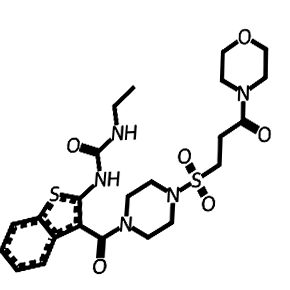 CCNC(=O)Nc1sc2ccccc2c1C(=O)N1CCN(S(=O)(=O)CCC(=O)N2CCOCC2)CC1